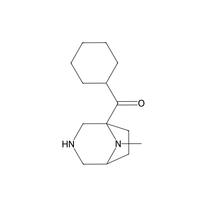 CN1C2CCC1(C(=O)C1CCCCC1)CNC2